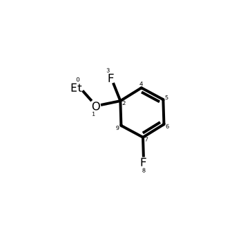 CCOC1(F)C=CC=C(F)C1